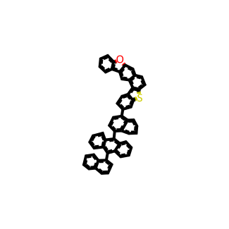 c1ccc2c(-c3c4ccccc4c(-c4ccc(-c5ccc6c(c5)sc5ccc7cc8oc9ccccc9c8cc7c56)c5ccccc45)c4ccccc34)cccc2c1